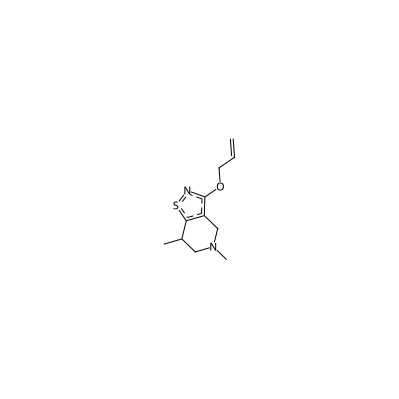 C=CCOc1nsc2c1CN(C)CC2C